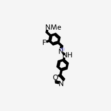 CNCc1ccc(/C=N/Nc2ccc(-c3cnco3)cc2)cc1F